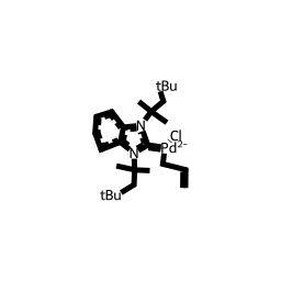 C=C[CH2][Pd-2]([Cl])=[c]1n(C(C)(C)CC(C)(C)C)c2ccccc2n1C(C)(C)CC(C)(C)C